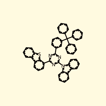 c1ccc(C(c2ccccc2)(c2ccccc2)c2cccc(-c3nc(-c4cccc5c4sc4ccccc45)nc(-n4c5ccccc5c5ccccc54)n3)c2)cc1